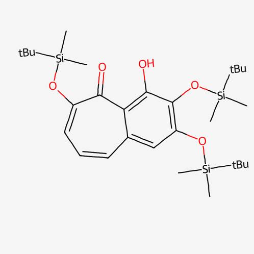 CC(C)(C)[Si](C)(C)Oc1cc2cccc(O[Si](C)(C)C(C)(C)C)c(=O)c2c(O)c1O[Si](C)(C)C(C)(C)C